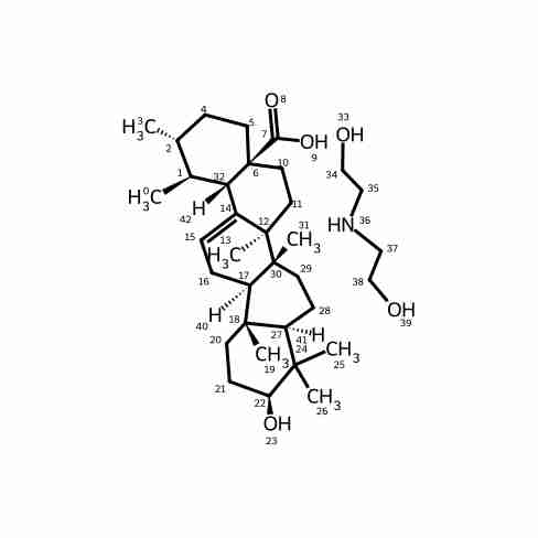 C[C@H]1[C@H](C)CC[C@]2(C(=O)O)CC[C@]3(C)C(=CC[C@@H]4[C@@]5(C)CC[C@H](O)C(C)(C)[C@@H]5CC[C@]43C)[C@H]12.OCCNCCO